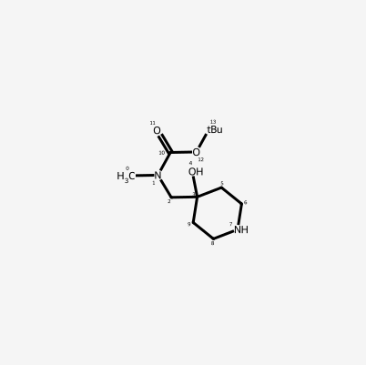 CN(CC1(O)CCNCC1)C(=O)OC(C)(C)C